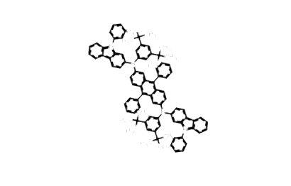 CC(C)(C)c1cc(N(c2ccc3c(-c4ccccc4)c4cc(N(c5cc(C(C)(C)C)cc(C(C)(C)C)c5)c5ccc6c7ccccc7n(-c7ccccc7)c6c5)ccc4c(-c4ccccc4)c3c2)c2ccc3c4ccccc4n(-c4ccccc4)c3c2)cc(C(C)(C)C)c1